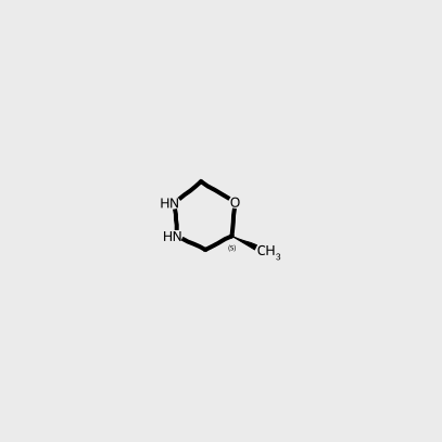 C[C@H]1CNNCO1